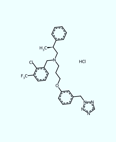 C[C@H](CN(CCCOc1cccc(Cn2ncnn2)c1)Cc1cccc(C(F)(F)F)c1Cl)c1ccccc1.Cl